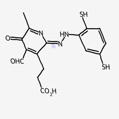 CC1=N/C(=N\Nc2cc(S)ccc2S)C(CCC(=O)O)=C(C=O)C1=O